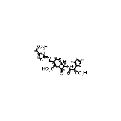 O=C(O)C1=C(CSc2nnc(CS(=O)(=O)O)o2)CS[C@H]2C(NC(=O)C(C(=O)O)c3cccs3)C(=O)N12